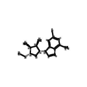 Nc1nc(F)nc2c1ncn2[C@@H]1O[C@H](CCl)[C@@H](O)[C@H]1O